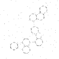 c1ccc2c(c1)-c1cccc3c(-c4cccc5oc6cc(-c7cccc8c7ccc7ccccc78)ccc6c45)ccc-2c13